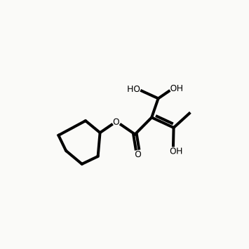 CC(O)=C(C(=O)OC1CCCCC1)C(O)O